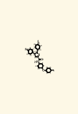 Cc1ccc(Oc2ccc(NC(=O)N3CC(c4ccc(F)cc4)C(c4ccc(F)cc4)=N3)cc2)cc1